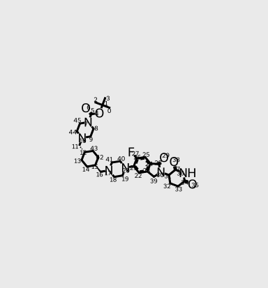 CC(C)(C)OC(=O)N1CCN(C[C@H]2CC[C@H](CN3CCN(c4cc5c(cc4F)C(=O)N(C4CCC(=O)NC4=O)C5)CC3)CC2)CC1